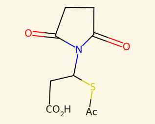 CC(=O)SC(CC(=O)O)N1C(=O)CCC1=O